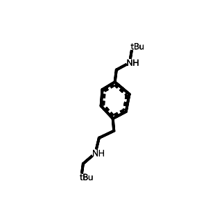 CC(C)(C)CNCCc1ccc(CNC(C)(C)C)cc1